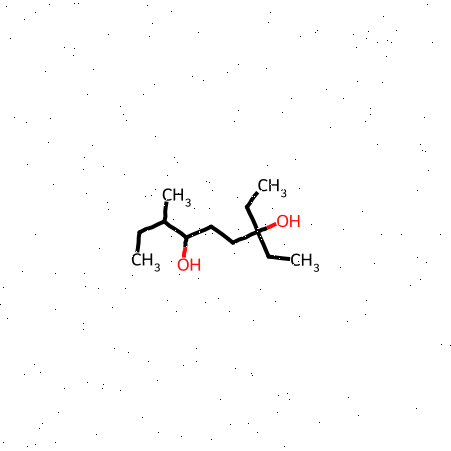 CCC(C)C(O)CCC(O)(CC)CC